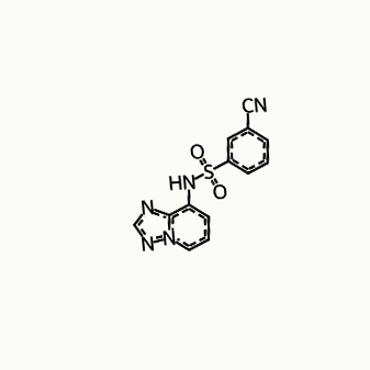 N#Cc1cccc(S(=O)(=O)Nc2cccn3ncnc23)c1